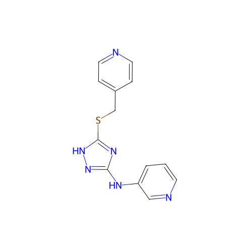 c1cncc(Nc2n[nH]c(SCc3ccncc3)n2)c1